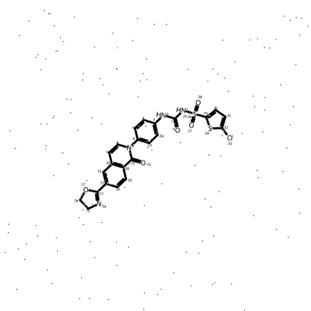 O=C(Nc1ccc(-n2ccc3cc(C4=NCCO4)ccc3c2=O)cc1)NS(=O)(=O)c1ccc(Cl)s1